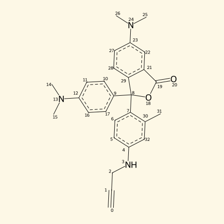 C#CCNc1ccc(C2(c3ccc(N(C)C)cc3)OC(=O)c3cc(N(C)C)ccc32)c(C)c1